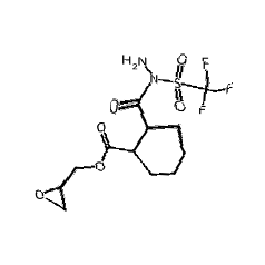 NN(C(=O)C1CCCCC1C(=O)OCC1CO1)S(=O)(=O)C(F)(F)F